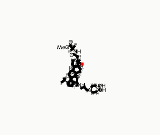 C=C(C)[C@@H]1CC[C@]2(CNCCCN3CCS(O)(O)CC3)CC[C@]3(C)[C@H](CC[C@@H]4[C@@]5(C)CCN(CC(=O)NC(C)(C)C(=O)OC)C(C)(C)[C@@H]5CC[C@]43C)[C@@H]12